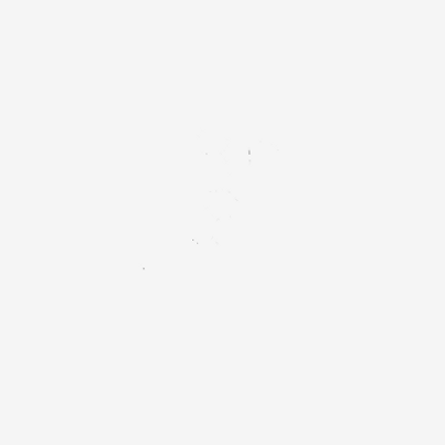 CC(O)CC(C)CNC(=O)c1ccc(-[s+]2c3ccccc3c3ccccc32)cc1